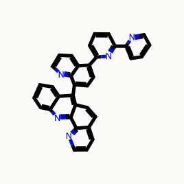 c1ccc(-c2cccc(-c3ccc(-c4c5ccccc5nc5c4ccc4cccnc45)c4ncccc34)n2)nc1